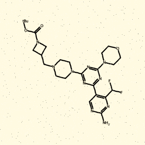 CC(C)(C)OC(=O)N1CC(CN2CCN(c3nc(-c4cnc(N)nc4C(F)F)nc(N4CCOCC4)n3)CC2)C1